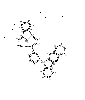 C1=CC2C(c3cccc(-n4c5ccccc5c5cc6cnccc6cc54)c3)=CC=C3c4ccccc4C(=C1)C32